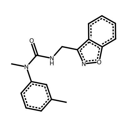 Cc1cccc(N(C)C(=O)NCc2noc3ccccc23)c1